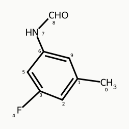 Cc1cc(F)cc(NC=O)c1